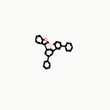 c1ccc(-c2ccc3c(c2)-c2cc(-c4ccccc4)cc4c2B3c2oc3ccccc3c2-4)cc1